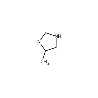 CC1CNC[N]1